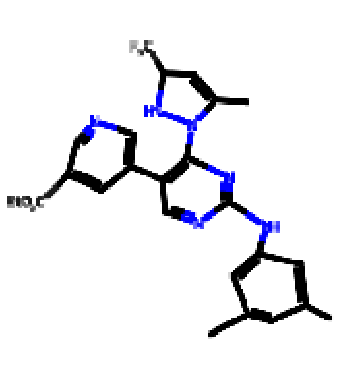 CCOC(=O)c1cncc(-c2cnc(Nc3cc(C)cc(C)c3)nc2N2NC(C(F)(F)F)C=C2C)c1